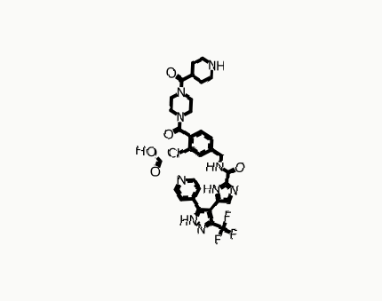 O=C(NCc1ccc(C(=O)N2CCN(C(=O)C3CCNCC3)CC2)c(Cl)c1)c1ncc(-c2c(C(F)(F)F)n[nH]c2-c2ccncc2)[nH]1.O=CO